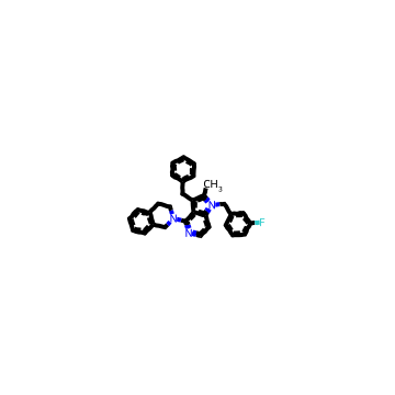 Cc1c(Cc2ccccc2)c2c(N3CCc4ccccc4C3)nccc2n1Cc1cccc(F)c1